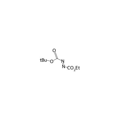 CCOC(=O)N=NC(=O)OC(C)(C)C